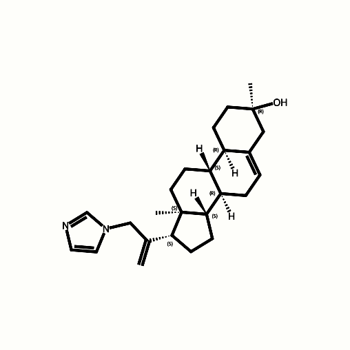 C=C(Cn1ccnc1)[C@H]1CC[C@H]2[C@@H]3CC=C4C[C@](C)(O)CC[C@@H]4[C@H]3CC[C@]12C